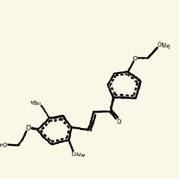 COCOc1ccc(C(=O)/C=C/c2cc(C(C)(C)C)c(OCOC)cc2OC)cc1